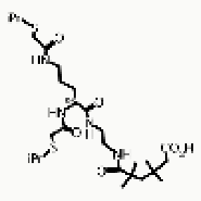 CC(C)SCC(=O)NCCC[C@H](NC(=O)CSC(C)C)C(=O)NCCNC(=O)C(C)(C)CC(C)(C)CC(=O)O